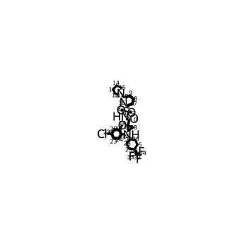 O=C(NS(=O)(=O)c1cccc(N2CCCC2)n1)C1(Oc2cc(Cl)ccc2NC2CCC(C(F)(F)F)CC2)CC1